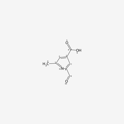 Cc1cc(C(=O)O)cc(C=O)n1